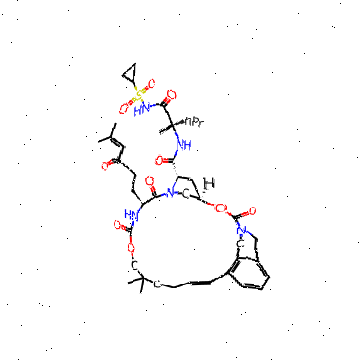 CCC[C@](C)(NC(=O)[C@@H]1C[C@@H]2CN1C(=O)[C@H](CCC(=O)C=C(C)C)NC(=O)OCC(C)(C)CC/C=C/c1cccc3c1CN(C3)C(=O)O2)C(=O)NS(=O)(=O)C1CC1